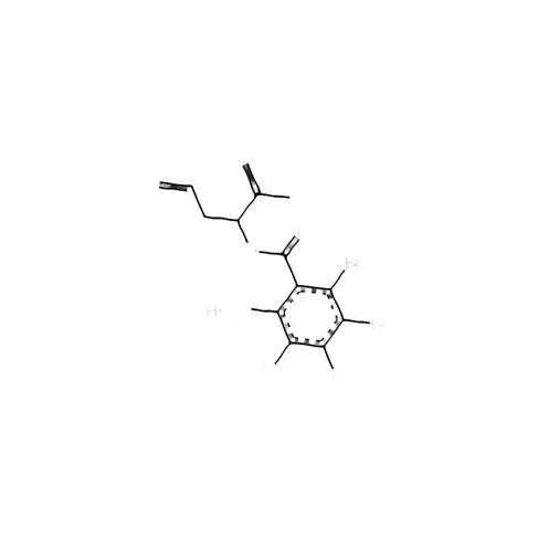 C=CCC(OC(=O)c1c(Br)c(Br)c(Br)c(Br)c1C(=O)O)C(=C)C